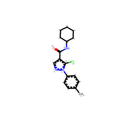 Cc1ccc(-n2ncc(C(=O)NC3CCCCC3)c2Cl)cc1